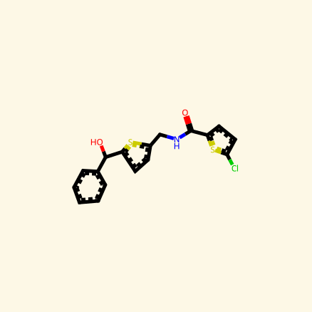 O=C(NCc1ccc(C(O)c2ccccc2)s1)c1ccc(Cl)s1